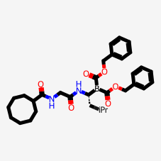 CC(C)C[C@H](NC(=O)CNC(=O)C1CCCCCCC1)B(C(=O)OCc1ccccc1)C(=O)OCc1ccccc1